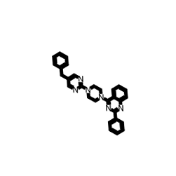 c1ccc(Cc2cnc(N3CCN(c4nc(-c5ccccc5)nc5ccccc45)CC3)nc2)cc1